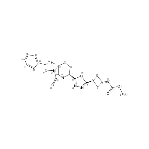 CC(C)(C)OC(=O)N[C@H]1C[C@@H](c2nnc([C@@H]3CC[C@H]4CN3C(=O)N4OCc3ccccc3)o2)C1